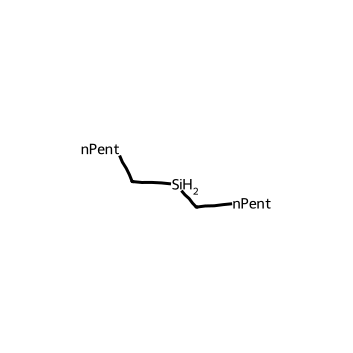 CCCCCC[SiH2]CCCCCC